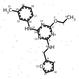 CCOc1nc(NCc2ccco2)nc(Nc2cccc(C)c2)n1